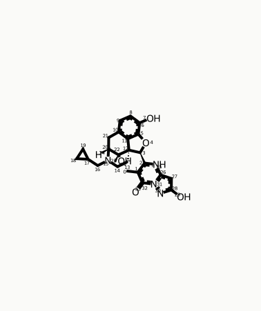 Cc1c([C@@H]2Oc3c(O)ccc4c3[C@@]23CCN(CC2CC2)[C@H](C4)[C@@]3(C)O)[nH]c2cc(O)nn2c1=O